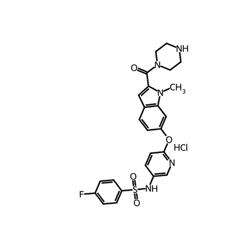 Cl.Cn1c(C(=O)N2CCNCC2)cc2ccc(Oc3ccc(NS(=O)(=O)c4ccc(F)cc4)cn3)cc21